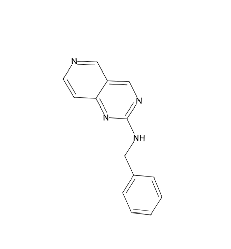 c1ccc(CNc2ncc3cnccc3n2)cc1